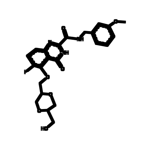 COc1cccc(CNC(=O)c2nc3ccc(F)c(OCC4COC(CO)CO4)c3c(=O)[nH]2)c1